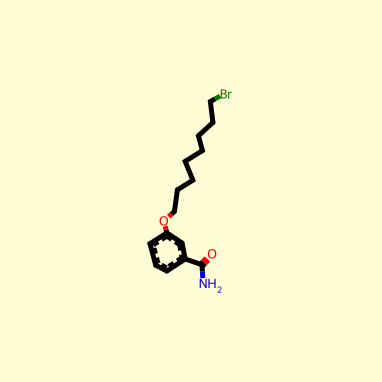 NC(=O)c1cccc(OCCCCCCCCBr)c1